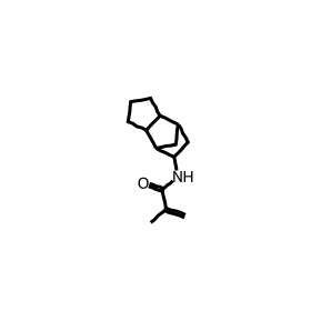 C=C(C)C(=O)NC1CC2CC1C1CCCC21